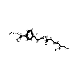 COC(=O)c1ccc(CCNC(=O)CCCC(O)CO)cc1